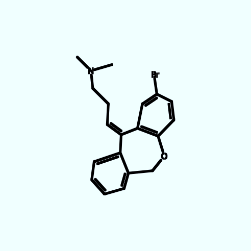 CN(C)CCC=C1c2ccccc2COc2ccc(Br)cc21